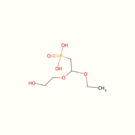 CCOC(CP(=O)(O)O)OCCO